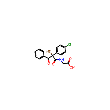 O=C(O)CNC(=O)C(S)(C(=O)c1ccccc1)c1ccc(Cl)cc1